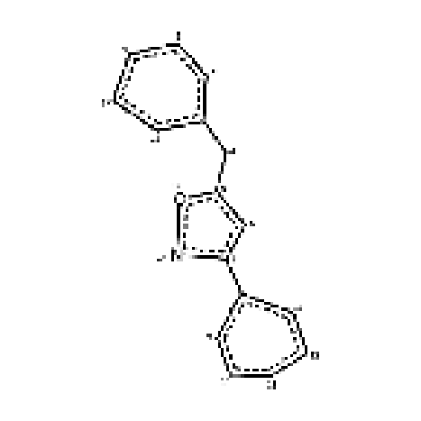 c1ccc(Cc2cc(-c3ccccc3)no2)cc1